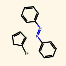 [Fe][C]1=CC=CC1.c1ccc(N=Nc2ccccc2)cc1